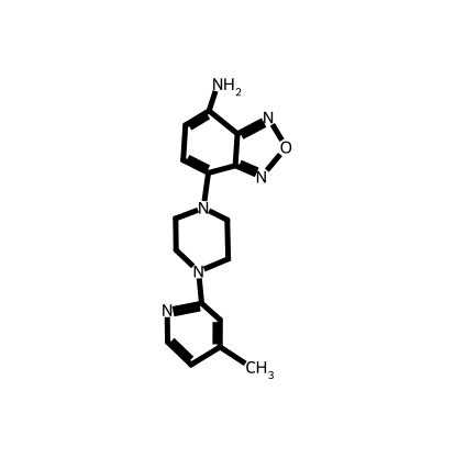 Cc1ccnc(N2CCN(c3ccc(N)c4nonc34)CC2)c1